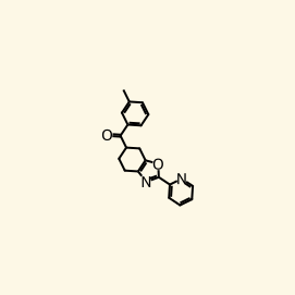 Cc1cccc(C(=O)C2CCc3nc(-c4ccccn4)oc3C2)c1